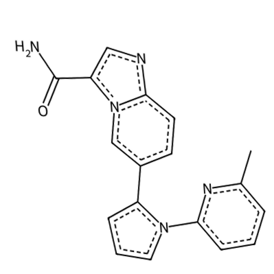 Cc1cccc(-n2cccc2-c2ccc3ncc(C(N)=O)n3c2)n1